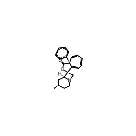 C[C@@H]1CCN2C[C@]3(OC(=O)[C@]4(c5ccccc5)C=CC=CC=C43)[C@@H]2C1